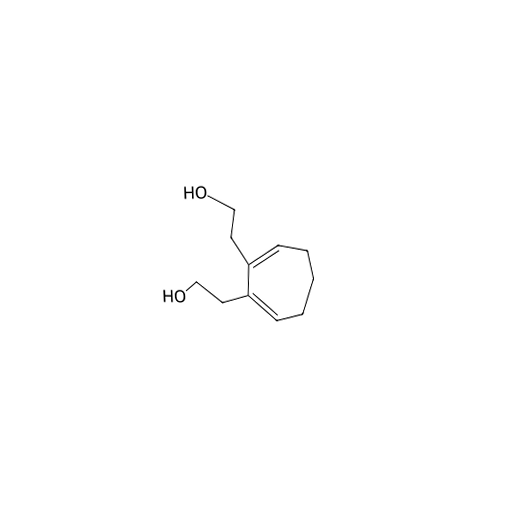 OCCC1=CCCCC=C1CCO